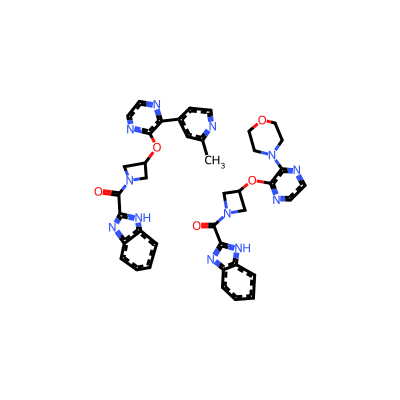 Cc1cc(-c2nccnc2OC2CN(C(=O)c3nc4ccccc4[nH]3)C2)ccn1.O=C(c1nc2ccccc2[nH]1)N1CC(Oc2nccnc2N2CCOCC2)C1